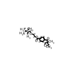 CCC(C)(CC)C(=O)c1ccc(C(=O)OCCOCS(C)(C)C(C)C)cc1